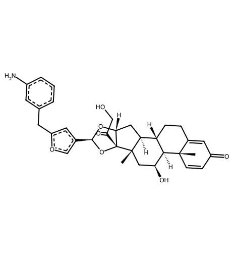 C[C@]12C=CC(=O)C=C1CC[C@@H]1[C@@H]2[C@@H](O)C[C@@]2(C)[C@H]1C[C@H]1O[C@H](c3coc(Cc4cccc(N)c4)c3)O[C@]12C(=O)CO